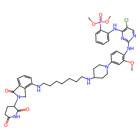 COc1cc(N2CCC(NCCCCCCCNc3cccc4c3CN(C3CCC(=O)NC3=O)C4=O)CC2)ccc1Nc1ncc(Cl)c(Nc2ccccc2P(=O)(OC)OC)n1